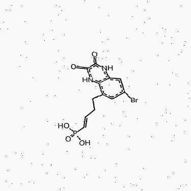 O=c1[nH]c2cc(Br)cc(CCC=CP(=O)(O)O)c2[nH]c1=O